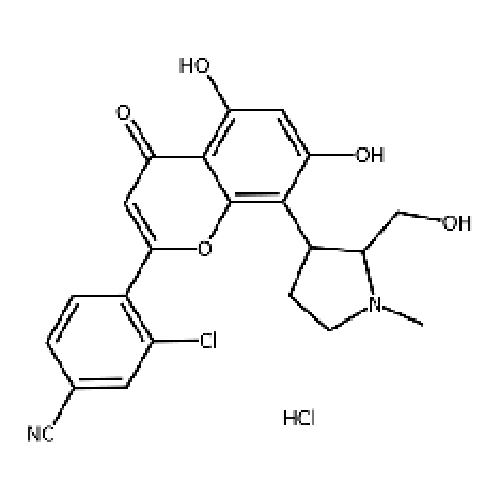 CN1CCC(c2c(O)cc(O)c3c(=O)cc(-c4ccc(C#N)cc4Cl)oc23)C1CO.Cl